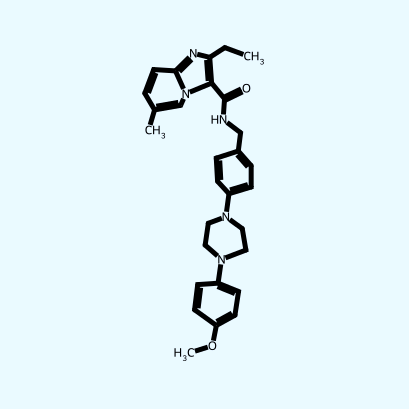 CCc1nc2ccc(C)cn2c1C(=O)NCc1ccc(N2CCN(c3ccc(OC)cc3)CC2)cc1